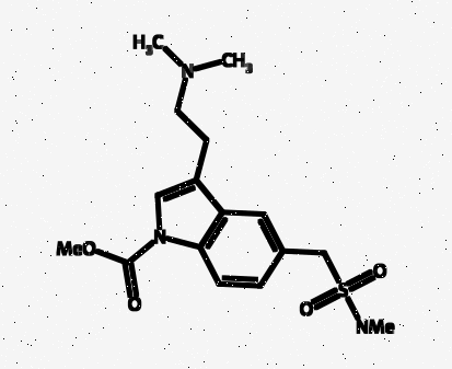 CNS(=O)(=O)Cc1ccc2c(c1)c(CCN(C)C)cn2C(=O)OC